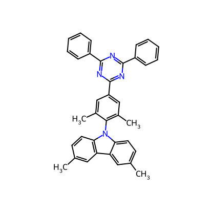 Cc1ccc2c(c1)c1cc(C)ccc1n2-c1c(C)cc(-c2nc(-c3ccccc3)nc(-c3ccccc3)n2)cc1C